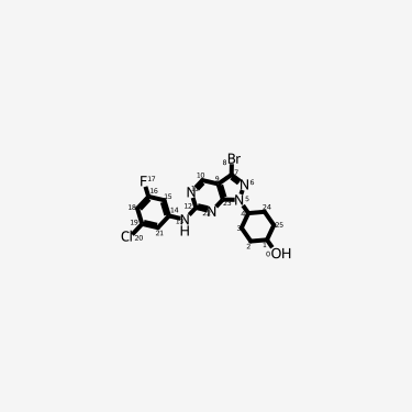 OC1CCC(n2nc(Br)c3cnc(Nc4cc(F)cc(Cl)c4)nc32)CC1